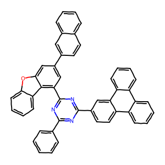 c1ccc(-c2nc(-c3ccc4c5ccccc5c5ccccc5c4c3)nc(-c3cc(-c4ccc5ccccc5c4)cc4oc5ccccc5c34)n2)cc1